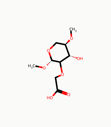 CO[C@@H]1OC[C@@H](OC)[C@H](O)C1OCC(=O)O